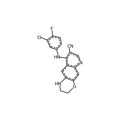 N#Cc1cnc2cc3c(cc2c1Nc1ccc(F)c(Cl)c1)NCCO3